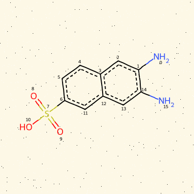 Nc1cc2ccc(S(=O)(=O)O)cc2cc1N